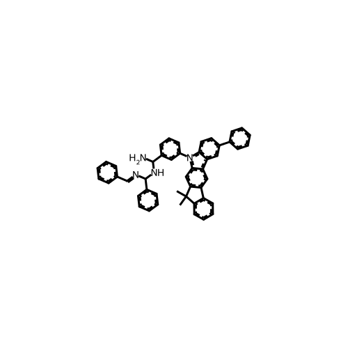 CC1(C)c2ccccc2-c2cc3c4cc(-c5ccccc5)ccc4n(-c4cccc(C(N)NC(/N=C/c5ccccc5)c5ccccc5)c4)c3cc21